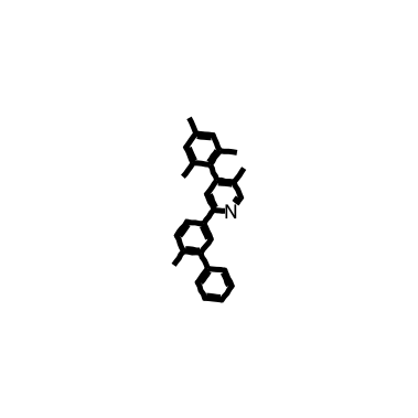 Cc1cc(C)c(-c2cc(-c3ccc(C)c(-c4ccccc4)c3)ncc2C)c(C)c1